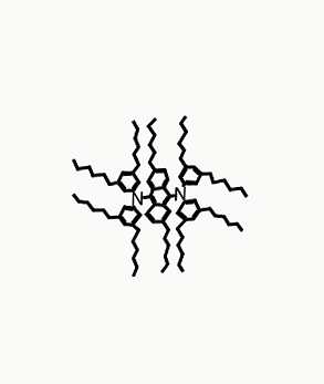 CCCCCCc1cc(CCCCCC)cc(N(c2cc(CCCCCC)cc(CCCCCC)c2)c2c3ccc(CCCCCC)cc3c(N(c3cc(CCCCCC)cc(CCCCCC)c3)c3cc(CCCCCC)cc(CCCCCC)c3)c3ccc(CCCCCC)cc23)c1